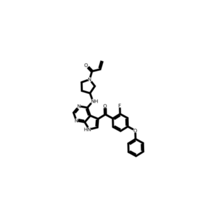 C=CC(=O)N1CCC(Nc2ncnc3[nH]cc(C(=O)c4ccc(Oc5ccccc5)cc4F)c23)C1